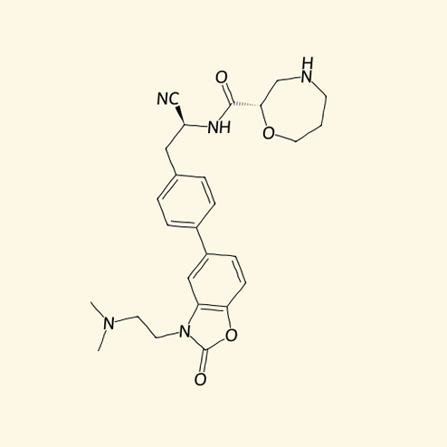 CN(C)CCn1c(=O)oc2ccc(-c3ccc(C[C@@H](C#N)NC(=O)[C@@H]4CNCCCO4)cc3)cc21